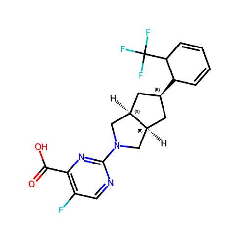 O=C(O)c1nc(N2C[C@H]3C[C@@H](C4C=CC=CC4C(F)(F)F)C[C@H]3C2)ncc1F